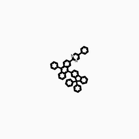 c1ccc(-c2cnc(-c3ccc4c(-c5ccccc5)c5ccccc5c(-c5ccc6c(c5)C(c5ccccc5)(c5ccccc5)c5ccccc5-6)c4c3)nc2)cc1